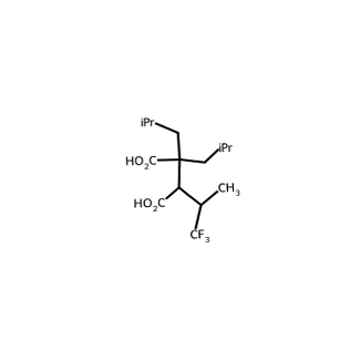 CC(C)CC(CC(C)C)(C(=O)O)C(C(=O)O)C(C)C(F)(F)F